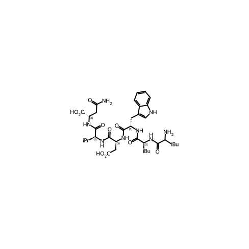 CCC(C)C(N)C(=O)N[C@H](C(=O)N[C@@H](Cc1c[nH]c2ccccc12)C(=O)N[C@@H](CC(=O)O)C(=O)N[C@H](C(=O)N[C@@H](CC(N)=O)C(=O)O)C(C)C)C(C)CC